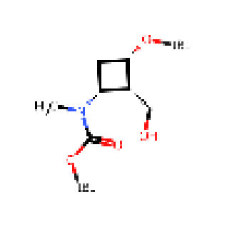 CN(C(=O)OC(C)(C)C)[C@@H]1C[C@H](OC(C)(C)C)[C@@H]1CO